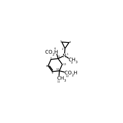 CN(C1CC1)C1(C(=O)O)CC=CC(C)(C(=O)O)C1